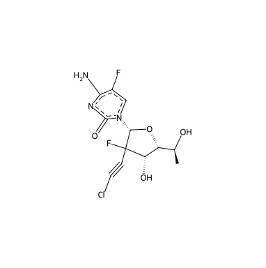 C[C@H](O)[C@H]1O[C@@H](n2cc(F)c(N)nc2=O)C(F)(C#CCl)[C@H]1O